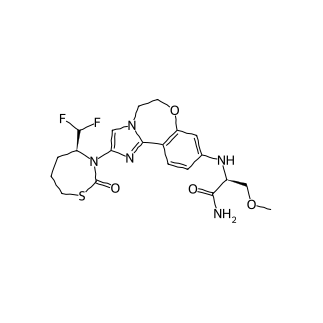 COC[C@H](Nc1ccc2c(c1)OCCn1cc(N3C(=O)SCCC[C@H]3C(F)F)nc1-2)C(N)=O